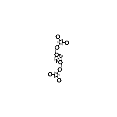 FC(F)(F)C(c1ccc(OC2=C=C=C(c3nc(-c4ccccc4)nc(-c4ccccc4)n3)C=C2)cc1)(c1ccc(Oc2ccc(-c3nc(-c4ccccc4)nc(-c4ccccc4)n3)cc2)cc1)C(F)(F)F